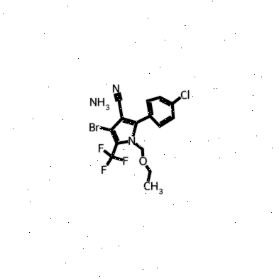 CCOCn1c(-c2ccc(Cl)cc2)c(C#N)c(Br)c1C(F)(F)F.N